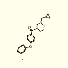 O=C(c1ccc(Oc2ccccc2)cc1)C1CCCN(CC2CC2)C1